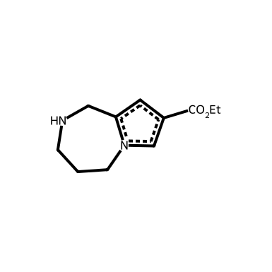 CCOC(=O)c1cc2n(c1)CCCNC2